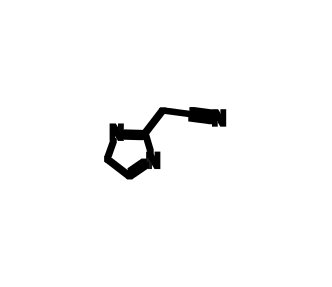 N#CCC1=NCC=N1